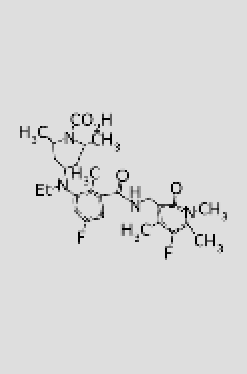 CCN(c1cc(F)cc(C(=O)NCc2c(C)c(F)c(C)n(C)c2=O)c1C)C1C[C@@H](C)N(C(=O)O)[C@H](C)C1